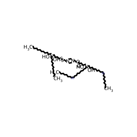 CCCCCCCC/C=C\CCCCCCC(O)CN(CCCC(=O)OCCN1CCN(CCSSCCCCN(CC(O)CCCCCCCCCC)CC(O)CCCCCCCCCC)CC1)CC(O)CCCCCC/C=C\CCCCCCCC